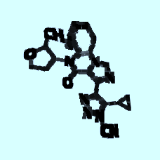 CC1OCCC1n1c(=O)c2c(-c3nnn(C#N)c3C3CC3)ncn2c2ccccc21